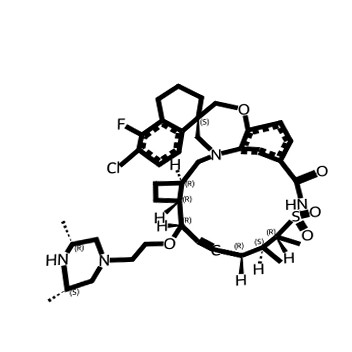 C[C@@H]1[C@@H](C)S(=O)(=O)NC(=O)c2ccc3c(c2)N(C[C@@H]2CC[C@H]2[C@@H](OCCN2C[C@@H](C)N[C@@H](C)C2)C2=C[C@H]1C2)C[C@@]1(CCCc2c1ccc(Cl)c2F)CO3